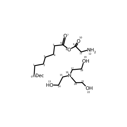 CCCCCCCCCCCCCCCC(=O)OC(=O)CN.OCCN(CCO)CCO